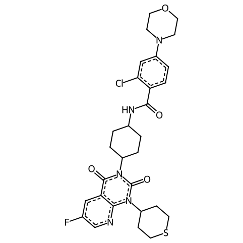 O=C(NC1CCC(n2c(=O)c3cc(F)cnc3n(C3CCSCC3)c2=O)CC1)c1ccc(N2CCOCC2)cc1Cl